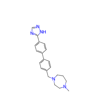 CN1CCCN(Cc2ccc(-c3ccc(-c4ncn[nH]4)cc3)cc2)CC1